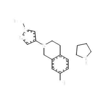 Cc1cc2c(c([C@@H]3CCCN3)c1)CCN(c1cnn(C)c1)C2